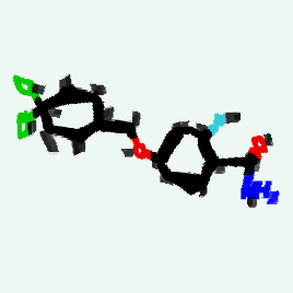 NC(=O)c1ccc(OCC2CCC(Cl)(Cl)CC2)cc1F